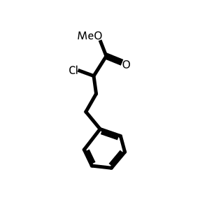 COC(=O)C(Cl)CCc1ccccc1